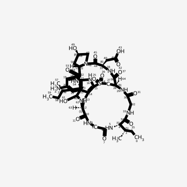 CC[C@H](C)[C@@H]1NC(=O)CNC(=O)[C@@H]2Cc3c([nH]c4ccc(N)cc34)S(=O)(=O)C[C@H](NC(=O)CNC1=O)C(=O)N[C@H](CC(=O)O)C(=O)N1C[C@H](O)C[C@H]1C(=O)N[C@@H]([C@@H](C)CC)C(O)N2